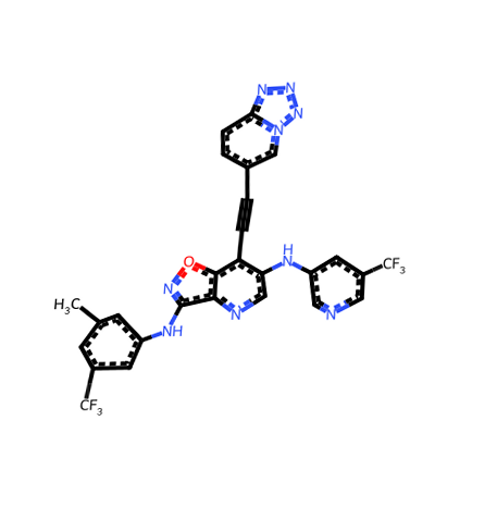 Cc1cc(Nc2noc3c(C#Cc4ccc5nnnn5c4)c(Nc4cncc(C(F)(F)F)c4)cnc23)cc(C(F)(F)F)c1